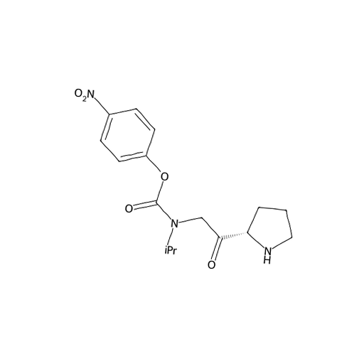 CC(C)N(CC(=O)[C@@H]1CCCN1)C(=O)Oc1ccc([N+](=O)[O-])cc1